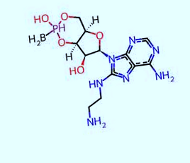 B[PH]1(O)OC[C@H]2O[C@@H](n3c(NCCN)nc4c(N)ncnc43)[C@@H](O)[C@H]2O1